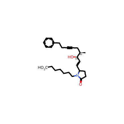 C[C@H](CC#CCCc1ccccc1)[C@H](O)C=CC1CCC(=O)N1CCCCCCC(=O)O